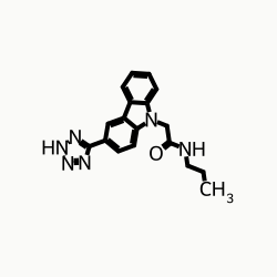 CCCNC(=O)Cn1c2ccccc2c2cc(-c3nn[nH]n3)ccc21